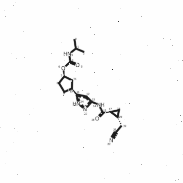 CC(C)NC(=O)O[C@@H]1CC[C@H](c2cc(NC(=O)[C@H]3C[C@@H]3CC#N)n[nH]2)C1